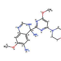 COc1cc(N2CCOCC2)nc(C2(N)NC=Nc3cc(OC)c(N)cc32)n1